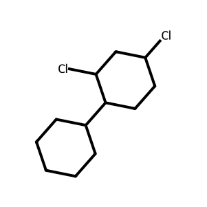 ClC1CCC(C2CCCCC2)C(Cl)C1